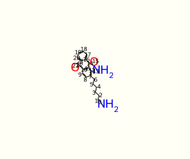 NCCCCCCc1ccc2c(c1N)C(=O)c1ccccc1C2=O